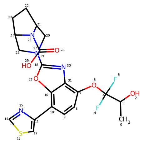 CC(O)C(F)(F)Oc1ccc(-c2cscn2)c2oc(N3CC4CCC(C3)N4C(=O)O)nc12